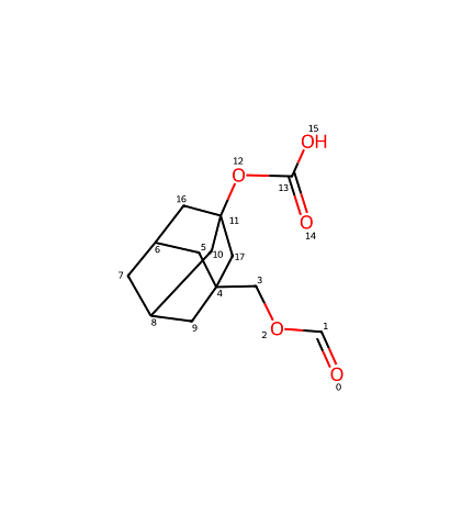 O=COCC12CC3CC(C1)CC(OC(=O)O)(C3)C2